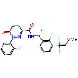 COCC(F)(F)c1cccc([C@@H](C)NC(=O)c2ccc(=O)n(-c3ccccc3F)n2)c1F